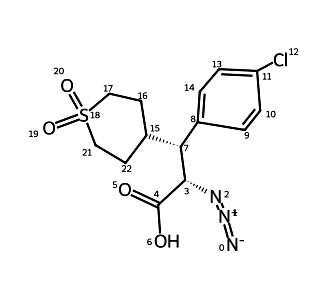 [N-]=[N+]=N[C@H](C(=O)O)[C@@H](c1ccc(Cl)cc1)C1CCS(=O)(=O)CC1